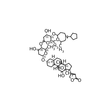 CC1CN(C2CCCC2)CCC(O[C@H]2[C@@H](O)C[C@H](O[C@@H]3[C@@H](O)C[C@@H](O[C@H]4CC[C@@]5(C)[C@H](CC[C@@H]6[C@@H]5C[C@@H](O)[C@]5(C)[C@@H](C7=CC(=O)OC7)CC[C@]65O)C4)O[C@@H]3C)O[C@@H]2C)O1